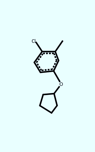 Cc1cc(OC2CCCC2)ccc1Cl